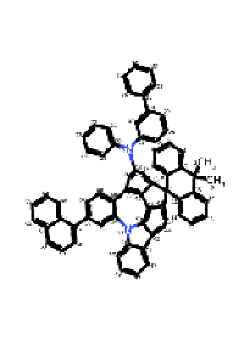 CC1(C)c2ccccc2C2(c3ccccc31)c1cc(N(c3ccccc3)c3cccc(-c4ccccc4)c3)cc3c1-c1c2ccc2c4ccccc4n(c12)-c1cc(-c2cccc4ccccc24)ccc1-3